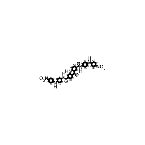 O=C(Nc1ccc(Nc2ccc([N+](=O)[O-])cc2)cc1)c1ccc2c(=O)c3cc(C(=O)Nc4ccc(Nc5ccc([N+](=O)[O-])cc5)cc4)ccc3[nH]c2c1